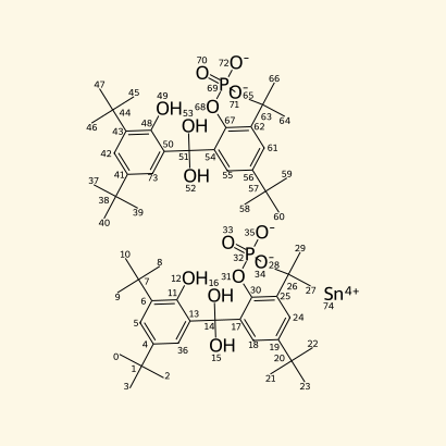 CC(C)(C)c1cc(C(C)(C)C)c(O)c(C(O)(O)c2cc(C(C)(C)C)cc(C(C)(C)C)c2OP(=O)([O-])[O-])c1.CC(C)(C)c1cc(C(C)(C)C)c(O)c(C(O)(O)c2cc(C(C)(C)C)cc(C(C)(C)C)c2OP(=O)([O-])[O-])c1.[Sn+4]